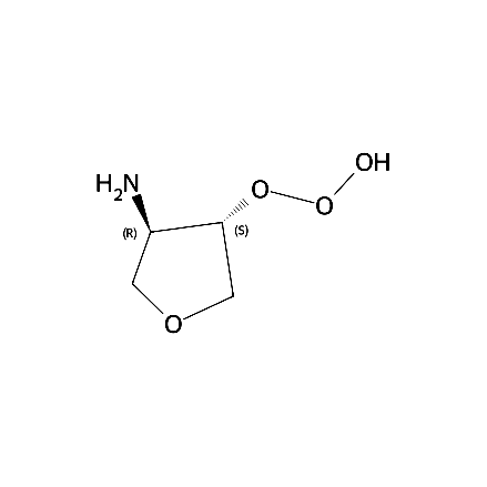 N[C@@H]1COC[C@H]1OOO